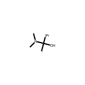 [CH2]C(O)(C(C)C)N(C)C